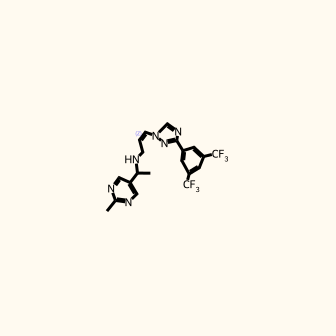 Cc1ncc(C(C)NC/C=C\n2cnc(-c3cc(C(F)(F)F)cc(C(F)(F)F)c3)n2)cn1